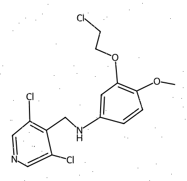 COc1ccc(NCc2c(Cl)cncc2Cl)cc1OCCCl